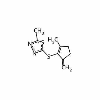 C=C1CCC(C)=C1Sc1nnc(C)s1